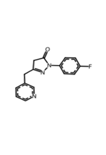 O=C1CC(Cc2cccnc2)=NN1c1ccc(F)cc1